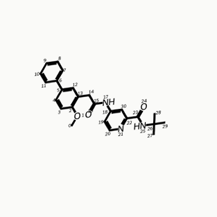 COc1ccc(-c2ccccc2)cc1CC(=O)Nc1ccnc(C(=O)NC(C)(C)C)c1